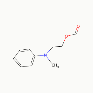 CN(CCOC=O)c1ccccc1